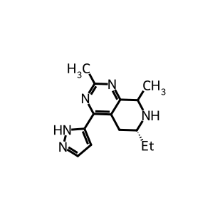 CC[C@@H]1Cc2c(-c3ccn[nH]3)nc(C)nc2C(C)N1